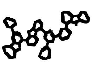 c1ccc(-c2nc(-c3cccc(-c4cccc5c4sc4ccccc45)c3)nc(-c3cccc4oc5c(-c6nc(-c7ccccc7)nc7c6sc6ccccc67)cccc5c34)n2)cc1